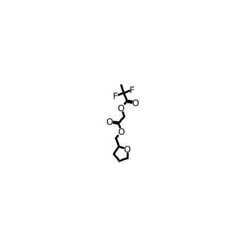 CC(F)(F)C(=O)OCC(=O)OCC1CCCO1